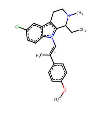 CCC1c2c(c3cc(Cl)ccc3n2/C=C(\C)c2ccc(OC)cc2)CCN1C